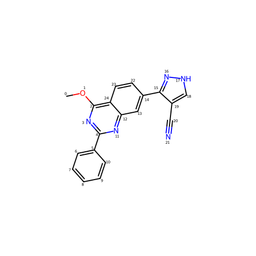 COc1nc(-c2ccccc2)nc2cc(-c3n[nH]cc3C#N)ccc12